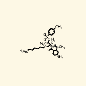 CCCCCCCCCCCCCCCCCCC(C)(NC(=O)c1ccccc1N(C)C)C(C)OS(=O)(=O)c1ccc(C)cc1.N